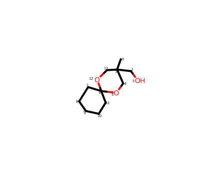 CC1(CO)COC2(CC[CH]CC2)OC1